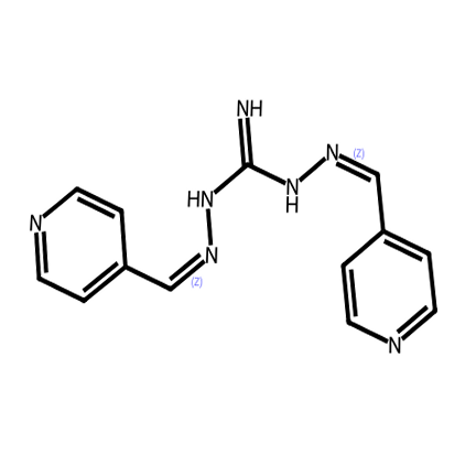 N=C(N/N=C\c1ccncc1)N/N=C\c1ccncc1